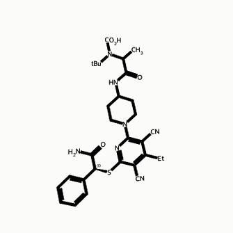 CCc1c(C#N)c(S[C@H](C(N)=O)c2ccccc2)nc(N2CCC(NC(=O)C(C)N(C(=O)O)C(C)(C)C)CC2)c1C#N